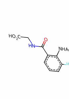 CC(=O)Nc1c([18F])cccc1C(=O)NCC(=O)O